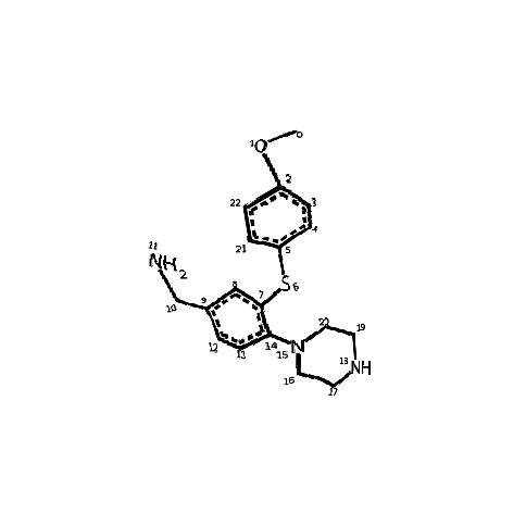 COc1ccc(Sc2cc(CN)ccc2N2CCNCC2)cc1